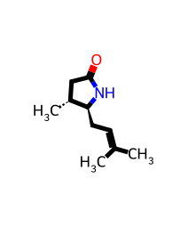 CC(C)=CC[C@@H]1NC(=O)C[C@H]1C